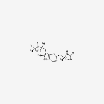 [2H]c1[nH]c2ccc(C[C@@]3([2H])COC(=O)N3)cc2c1CC([2H])([2H])N(C)C([2H])([2H])[2H]